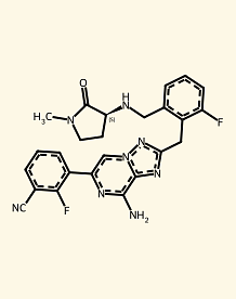 CN1CC[C@H](NCc2cccc(F)c2Cc2nc3c(N)nc(-c4cccc(C#N)c4F)cn3n2)C1=O